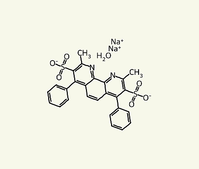 Cc1nc2c(ccc3c(-c4ccccc4)c(S(=O)(=O)[O-])c(C)nc32)c(-c2ccccc2)c1S(=O)(=O)[O-].O.[Na+].[Na+]